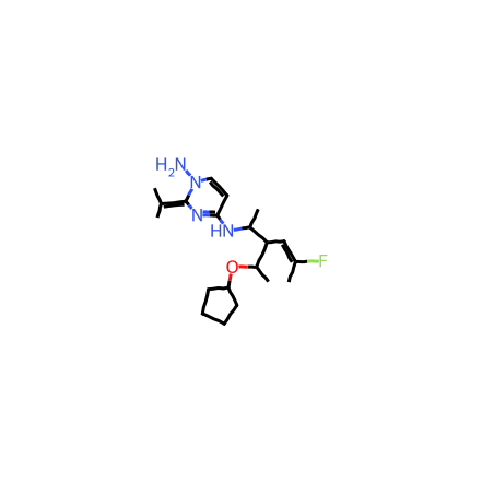 CC(C)=C1N=C(NC(C)C(/C=C(\C)F)C(C)OC2CCCC2)C=CN1N